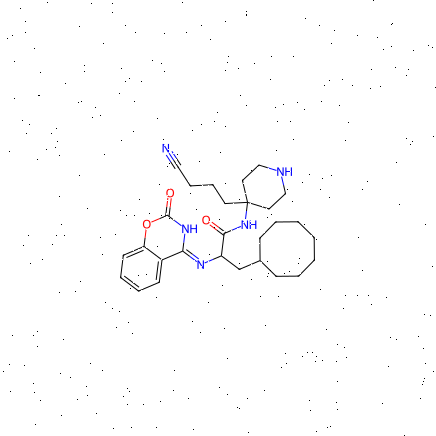 N#CCCCC1(NC(=O)C(CC2CCCCCCC2)N=c2[nH]c(=O)oc3ccccc23)CCNCC1